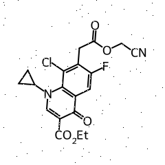 CCOC(=O)c1cn(C2CC2)c2c(Cl)c(CC(=O)OCC#N)c(F)cc2c1=O